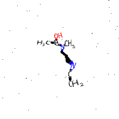 C=C=NCCCN(C)B(C)O